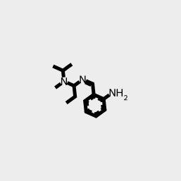 CCC(/N=C\c1ccccc1N)N(C)C(C)C